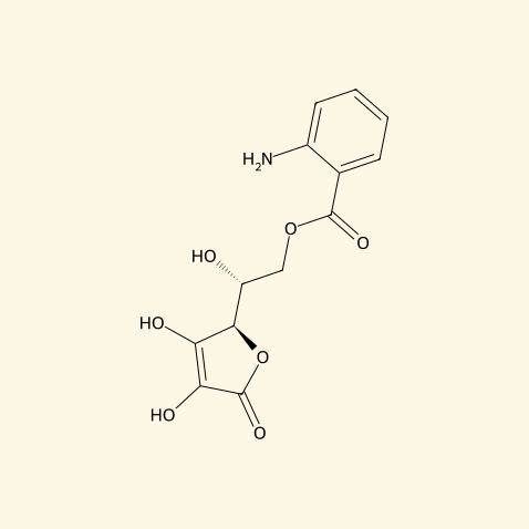 Nc1ccccc1C(=O)OC[C@@H](O)[C@H]1OC(=O)C(O)=C1O